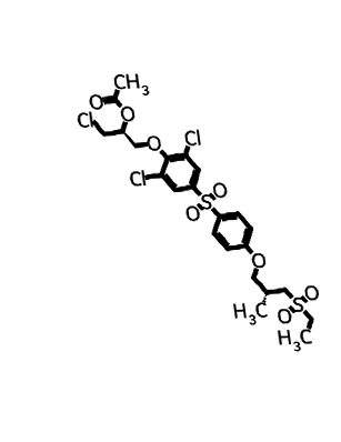 CCS(=O)(=O)C[C@H](C)COc1ccc(S(=O)(=O)c2cc(Cl)c(OC[C@@H](CCl)OC(C)=O)c(Cl)c2)cc1